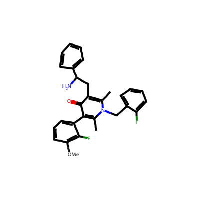 COc1cccc(-c2c(C)n(Cc3ccccc3F)c(C)c(CC(N)c3ccccc3)c2=O)c1F